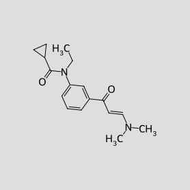 CCN(C(=O)C1CC1)c1cccc(C(=O)C=CN(C)C)c1